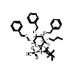 CCCC[C@]1(OP(=O)(O)O)O[C@H](COCc2ccccc2)[C@H](OCc2ccccc2)[C@@H](OCc2ccccc2)[C@@]1(CCCC)OC(=O)C(C)(C)C